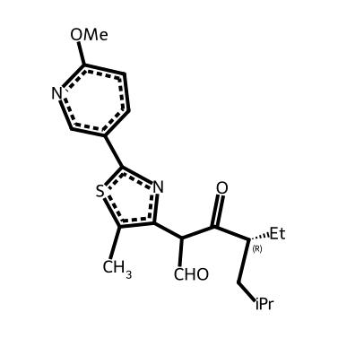 CC[C@H](CC(C)C)C(=O)C(C=O)c1nc(-c2ccc(OC)nc2)sc1C